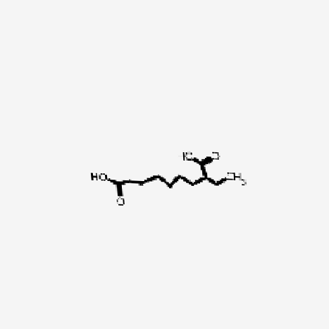 CCC(CCCCCCC(=O)O)C(=O)O